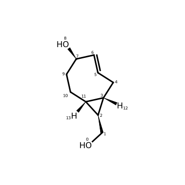 OC[C@@H]1[C@H]2C/C=C/[C@H](O)CC[C@@H]12